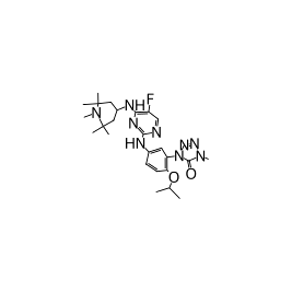 CC(C)Oc1ccc(Nc2ncc(F)c(NC3CC(C)(C)N(C)C(C)(C)C3)n2)cc1-n1nnn(C)c1=O